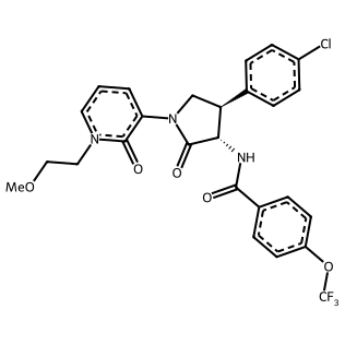 COCCn1cccc(N2C[C@@H](c3ccc(Cl)cc3)[C@H](NC(=O)c3ccc(OC(F)(F)F)cc3)C2=O)c1=O